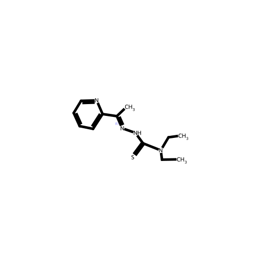 CCN(CC)C(=S)N/N=C(\C)c1ccccn1